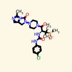 Cc1ncc2n1C(=O)N(N1CCN(C(=O)[C@H](NC(=O)Nc3ccc(Cl)cc3)C(C)(C)[S+](C)[O-])CC1)C2